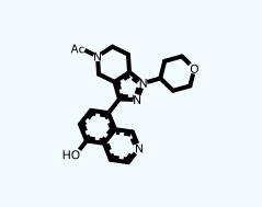 CC(=O)N1CCc2c(c(-c3ccc(O)c4ccncc34)nn2C2CCOCC2)C1